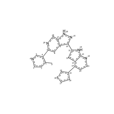 Cc1ccncc1-c1cc2c(-c3cc4c(-c5ccsc5)ccnc4[nH]3)n[nH]c2cn1